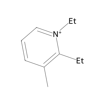 CCc1c(C)ccc[n+]1CC